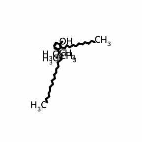 CCCCCCCCCCCCCCCC[N+](C)(C)C(C)(C)c1cccc(O)c1CCCCCCCCCCCC